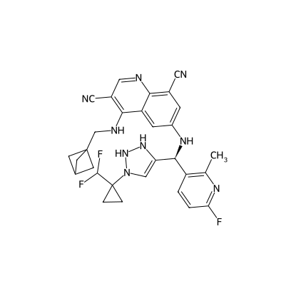 Cc1nc(F)ccc1[C@H](Nc1cc(C#N)c2ncc(C#N)c(NCC34CC(C3)C4)c2c1)C1=CN(C2(C(F)F)CC2)NN1